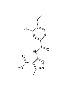 COC(=O)c1c(C)nsc1NC(=O)c1ccc(OC)c(Cl)c1